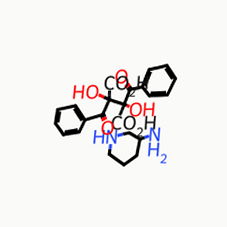 NC1CCCNC1.O=C(O)C(O)(C(=O)c1ccccc1)C(O)(C(=O)O)C(=O)c1ccccc1